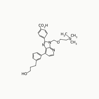 C[Si](C)(C)CCOCn1c(-c2ccc(C(=O)O)cc2)nc2c(-c3cccc(CCCO)c3)ccnc21